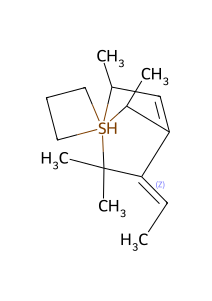 C/C=C1/C2=CC(C)[SH]3(CCC3)(C2C)C1(C)C